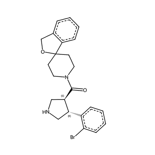 O=C([C@@H]1CNC[C@H]1c1ccccc1Br)N1CCC2(CC1)OCc1ccccc12